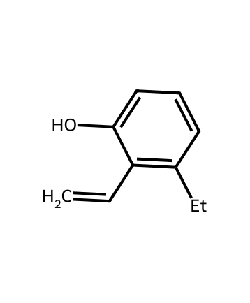 C=Cc1c(O)cccc1CC